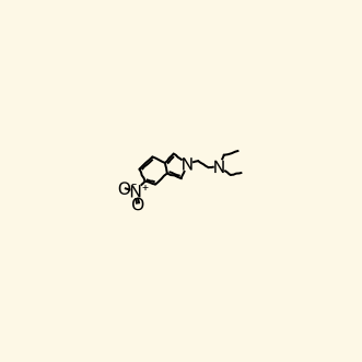 CCN(CC)CCn1cc2ccc([N+](=O)[O-])cc2c1